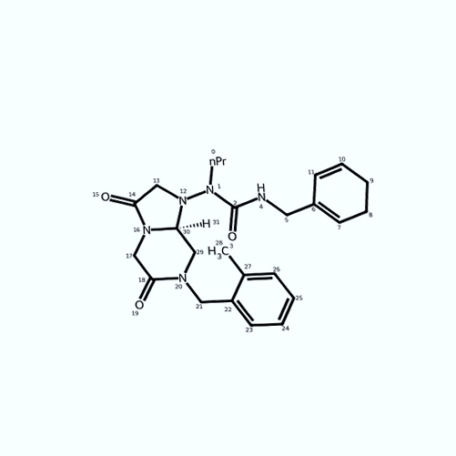 CCCN(C(=O)NCC1=CCCC=C1)N1CC(=O)N2CC(=O)N(Cc3ccccc3C)C[C@@H]21